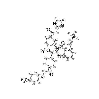 CC(C)Oc1ccc(C(=O)Cn2nccn2)cc1-n1c(CN2CCN(C(=O)COc3ccc(C(F)(F)F)cc3)CC2)nc2cccc(C#C[Si](C)(C)C)c2c1=O